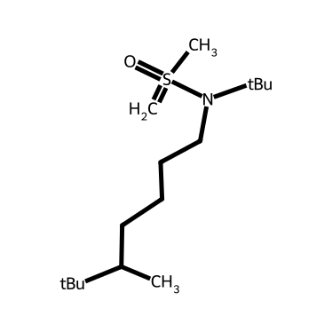 C=S(C)(=O)N(CCCCC(C)C(C)(C)C)C(C)(C)C